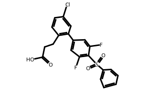 O=C(O)CCc1ccc(Cl)cc1-c1cc(F)c(S(=O)(=O)c2ccccc2)c(F)c1